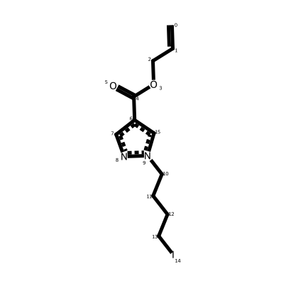 C=CCOC(=O)c1cnn(CCCCI)c1